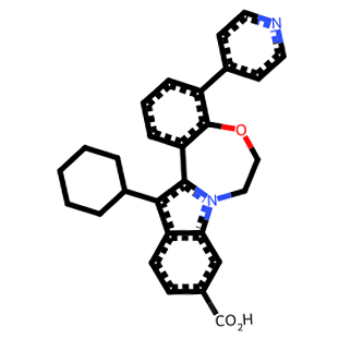 O=C(O)c1ccc2c(C3CCCCC3)c3n(c2c1)CCOc1c(-c2ccncc2)cccc1-3